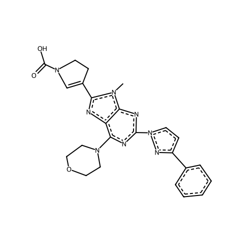 Cn1c(C2=CN(C(=O)O)CC2)nc2c(N3CCOCC3)nc(-n3ccc(-c4ccccc4)n3)nc21